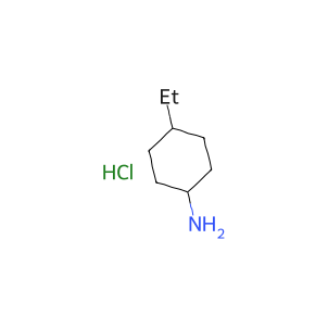 CCC1CCC(N)CC1.Cl